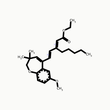 CCCCCC(/C=C/C1=CC(C)(C)COc2ccc(OC)cc21)=C\C(=O)OCC